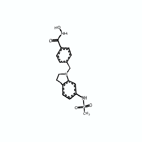 CS(=O)(=O)Nc1ccc2c(c1)N(Cc1ccc(C(=O)NO)cc1)CC2